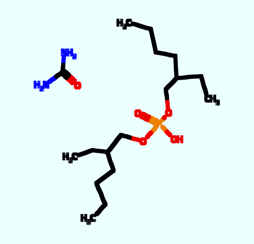 CCCCC(CC)COP(=O)(O)OCC(CC)CCCC.NC(N)=O